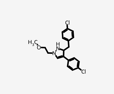 COCCN1C=C(c2ccc(Cl)cc2)C(Cc2ccc(Cl)cc2)N1